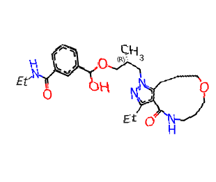 CCNC(=O)c1cccc(C(O)OC[C@H](C)Cn2nc(CC)c3c2CCCOCCCNC3=O)c1